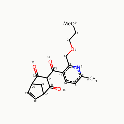 COCCOCc1nc(C(F)(F)F)ccc1C(=O)C1C(=O)C2C=CC(C2)C1=O